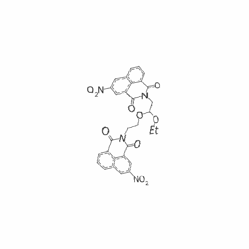 CCOC(CN1C(=O)c2cccc3cc([N+](=O)[O-])cc(c23)C1=O)OCCN1C(=O)c2cccc3cc([N+](=O)[O-])cc(c23)C1=O